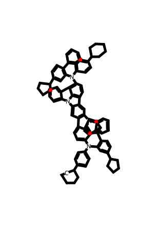 c1ccc(-c2ccc(C3CCCC3)cc2N(c2ccc(C3CCCCC3)cc2)c2ccc3c4cc5c(cc4n4c6ccccc6c2c34)c2ccc(N(c3ccc(C4CCCCC4)cc3)c3cc(C4CCCC4)ccc3-c3ccccc3)c3c4ccccc4n5c23)cc1